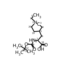 CCN1CCC(CC(NC(=O)OC(C)(C)C)C(=O)O)CC1